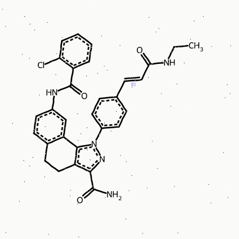 CCNC(=O)/C=C/c1ccc(-n2nc(C(N)=O)c3c2-c2cc(NC(=O)c4ccccc4Cl)ccc2CC3)cc1